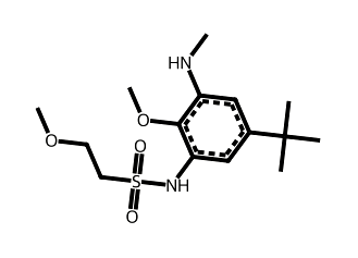 CNc1cc(C(C)(C)C)cc(NS(=O)(=O)CCOC)c1OC